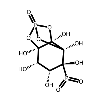 O=P(=O)[C@]1(O)[C@H](O)[C@H](O)[C@@]2(O)OP3(=O)O[C@@]1(O)[C@]2(O)O3